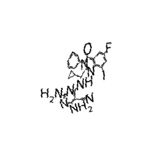 N#Cc1c(N)nc(N)nc1NC(c1nc2c(I)cc(F)cc2c(=O)n1-c1ccccc1)C1CC1